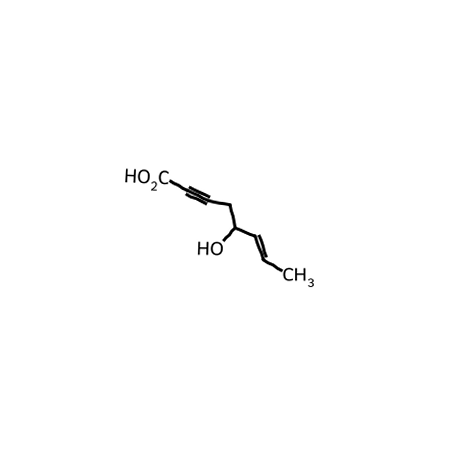 CC=CC(O)CC#CC(=O)O